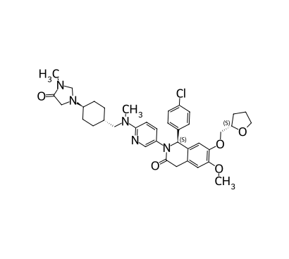 COc1cc2c(cc1OC[C@@H]1CCCO1)[C@H](c1ccc(Cl)cc1)N(c1ccc(N(C)C[C@H]3CC[C@H](N4CC(=O)N(C)C4)CC3)nc1)C(=O)C2